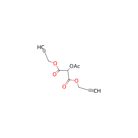 C#CCOC(=O)C(OC(C)=O)C(=O)OCC#C